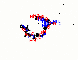 CCCO[C@H](C[C@H](C(C)C)N(CCC)C(=O)[C@@H](NC(=O)[C@H]1CCCCN1C)[C@@H](C)CC)c1nc(C(=O)NC(Cc2ccc(OC(=O)N(C)CCN(C)C(=O)OCc3ccc(NC(=O)[C@@H](CCCNC(N)=O)NC(=O)[C@H](NC(=O)CCNC(=O)OCC(O)OC(CC)CO)C(C)C)cc3)cc2)C[C@H](C)C(=O)O)cs1